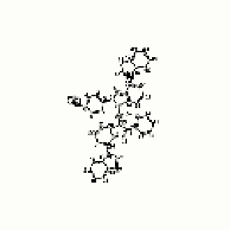 C1=C(c2ccccc2)[CH]([Zr+2][CH]2C(c3ccccc3)=Cc3c2cccc3-n2ccc3ccccc32)c2cccc(-n3ccc4ccccc43)c21.[Cl-].[Cl-]